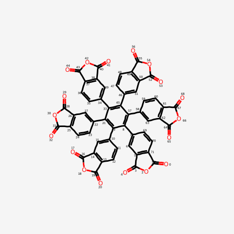 O=C1OC(=O)c2cc(-c3c(-c4ccc5c(c4)C(=O)OC5=O)c(-c4ccc5c(c4)C(=O)OC5=O)c(-c4ccc5c(c4)C(=O)OC5=O)c(-c4ccc5c(c4)C(=O)OC5=O)c3-c3ccc4c(c3)C(=O)OC4=O)ccc21